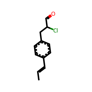 CC=Cc1ccc(CC(Cl)C=O)cc1